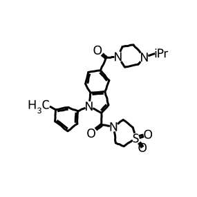 Cc1cccc(-n2c(C(=O)N3CCS(=O)(=O)CC3)cc3cc(C(=O)N4CCN(C(C)C)CC4)ccc32)c1